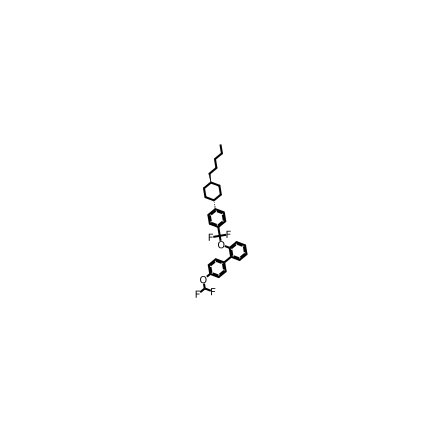 CCCCC[C@H]1CC[C@H](c2ccc(C(F)(F)Oc3ccccc3-c3ccc(OC(F)F)cc3)cc2)CC1